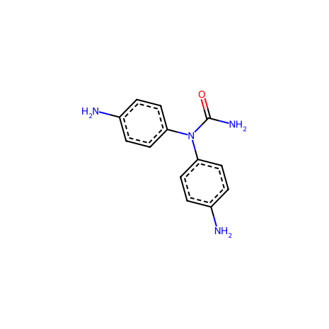 NC(=O)N(c1ccc(N)cc1)c1ccc(N)cc1